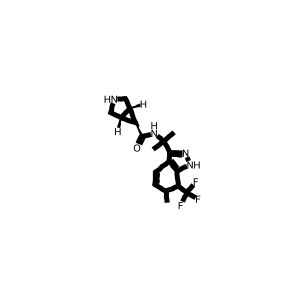 CC1C=Cc2c(C(C)(C)NC(=O)[C@H]3[C@@H]4CNC[C@@H]43)n[nH]c2C1C(F)(F)F